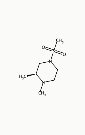 C[C@H]1CN(S(C)(=O)=O)CCN1C